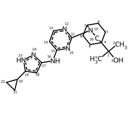 CC(C)(O)C12CCC(CC1)N(c1nccc(Nc3cc(C4CC4)[nH]n3)n1)C2